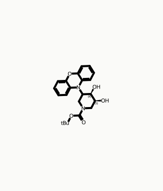 CC(C)(C)OC(=O)N1CC(N2c3ccccc3Oc3ccccc32)[C@@H](O)[C@@H](O)C1